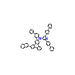 c1ccc(-c2ccc(-c3cc(-n4c5ccc(-c6ccccc6)cc5c5cc6c7cc(-c8ccc9ccccc9c8)ccc7c7ccccc7c6cc54)cc(-c4ccc(-c5ccccc5)cc4)n3)cc2)cc1